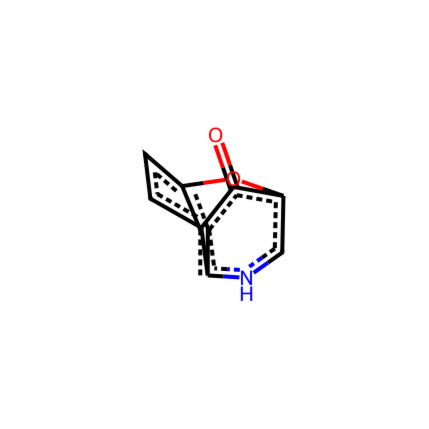 O=c1c2c[nH]c3cc(ccc13)O2